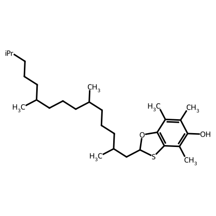 Cc1c(C)c2c(c(C)c1O)SC(CC(C)CCCC(C)CCCC(C)CCCC(C)C)O2